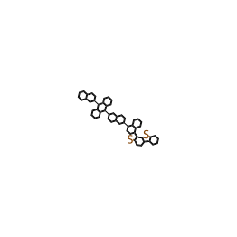 c1ccc2cc(-c3c4ccccc4c(-c4ccc5cc(-c6cc7sc8ccc9c%10ccccc%10sc9c8c7c7ccccc67)ccc5c4)c4ccccc34)ccc2c1